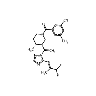 C=C([C@@H]1CN(C(=O)c2cc(C)cc(C#N)c2)CC[C@H]1C)n1ncnc1/N=C(\C)C(F)F